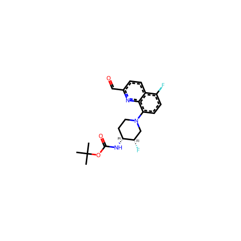 CC(C)(C)OC(=O)N[C@@H]1CCN(c2ccc(F)c3ccc(C=O)nc23)C[C@@H]1F